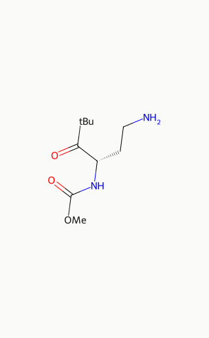 COC(=O)N[C@@H](CCN)C(=O)C(C)(C)C